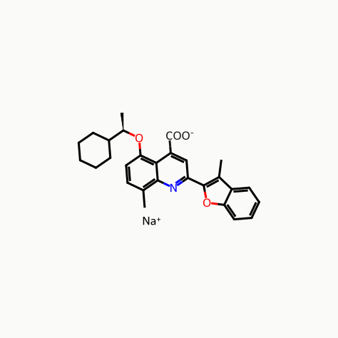 Cc1c(-c2cc(C(=O)[O-])c3c(O[C@H](C)C4CCCCC4)ccc(C)c3n2)oc2ccccc12.[Na+]